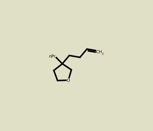 C=CCCC1(CCC)CCOC1